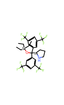 CC[Si](CC)(CC)OC(c1cc(C(F)(F)F)cc(C(F)(F)F)c1)(c1cc(C(F)(F)F)cc(C(F)(F)F)c1)[C@H]1CCCN1